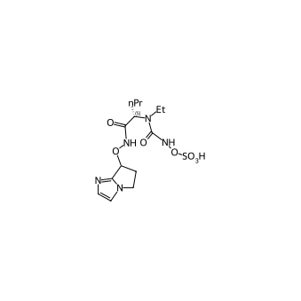 CCC[C@@H](C(=O)NOC1CCn2ccnc21)N(CC)C(=O)NOS(=O)(=O)O